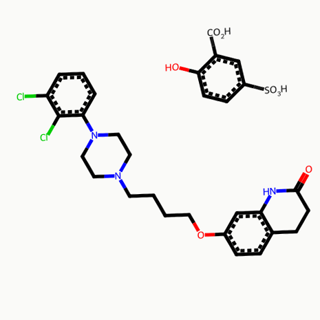 O=C(O)c1cc(S(=O)(=O)O)ccc1O.O=C1CCc2ccc(OCCCCN3CCN(c4cccc(Cl)c4Cl)CC3)cc2N1